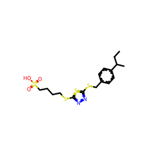 CCC(C)c1ccc(CSc2nnc(SCCCCS(=O)(=O)O)s2)cc1